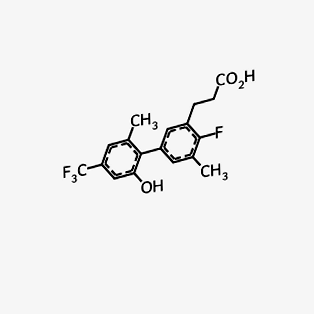 Cc1cc(-c2c(C)cc(C(F)(F)F)cc2O)cc(CCC(=O)O)c1F